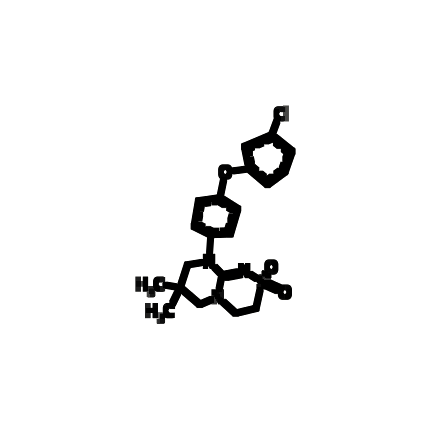 CC1(C)CN2CCS(=O)(=O)N=C2N(c2ccc(Oc3cccc(Cl)c3)cc2)C1